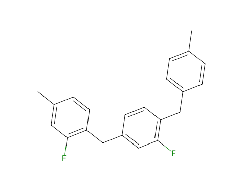 Cc1ccc(Cc2ccc(Cc3ccc(C)cc3F)cc2F)cc1